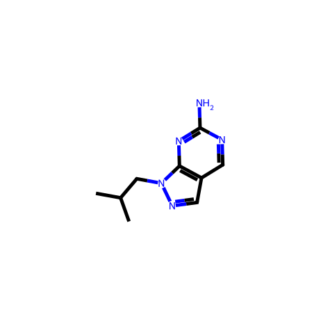 CC(C)Cn1ncc2cnc(N)nc21